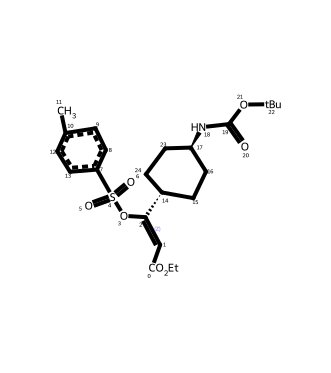 CCOC(=O)/C=C(\OS(=O)(=O)c1ccc(C)cc1)[C@H]1CC[C@H](NC(=O)OC(C)(C)C)CC1